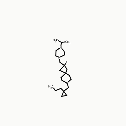 CCCC1(CN2CCC3(CC2)CC(F)(CN2CCN(C(C)C)CC2)C3)CC1